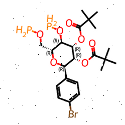 CC(C)(C)C(=O)O[C@@H]1[C@H](OC(=O)C(C)(C)C)[C@@H](c2ccc(Br)cc2)O[C@H](COP)[C@H]1OP